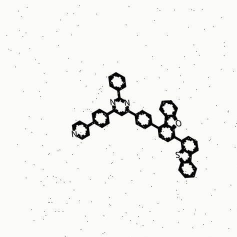 c1ccc(-c2nc(-c3ccc(-c4ccncc4)cc3)cc(-c3ccc(-c4ccc(-c5cccc6c5sc5ccccc56)c5oc6ccccc6c45)cc3)n2)cc1